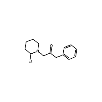 CCC1CCCCN1CC(=O)Cc1ccccc1